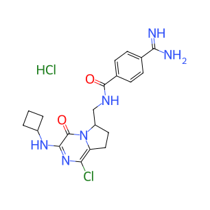 Cl.N=C(N)c1ccc(C(=O)NCC2CCc3c(Cl)nc(NC4CCC4)c(=O)n32)cc1